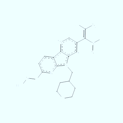 CNSc1ccc2c3ncc(/C(=C(\C)N)N(C)N)cc3n(CC3CCOCC3)c2n1